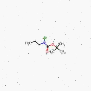 CCCN(Br)C(=O)OC(C)(C)C